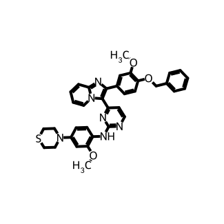 COc1cc(N2CCSCC2)ccc1Nc1nccc(-c2c(-c3ccc(OCc4ccccc4)c(OC)c3)nc3ccccn23)n1